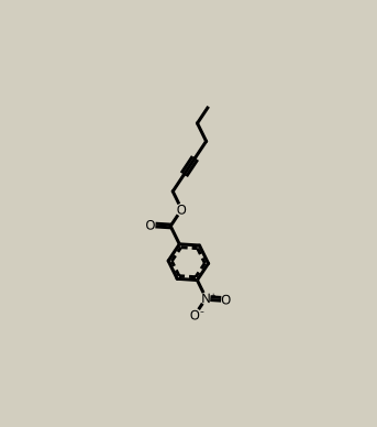 CCCC#CCOC(=O)c1ccc([N+](=O)[O-])cc1